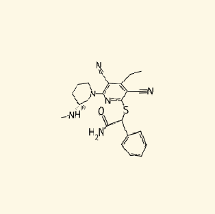 CCc1c(C#N)c(SC(C(N)=O)c2ccccc2)nc(N2CCC[C@@H](NC)C2)c1C#N